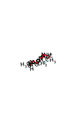 Cc1cc(C)cc(Nc2ncc3c(n2)CN([C@@H]2CCN(C(=O)c4ccnc(NS(C)(=O)=O)c4)[C@H](C)C2)C3)c1